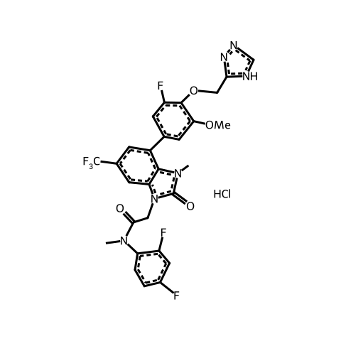 COc1cc(-c2cc(C(F)(F)F)cc3c2n(C)c(=O)n3CC(=O)N(C)c2ccc(F)cc2F)cc(F)c1OCc1nnc[nH]1.Cl